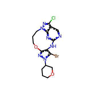 Clc1nn2c3nc(ncc13)Nc1c(nn(C3CCCOC3)c1Br)OCCC2